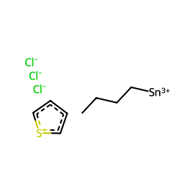 CCC[CH2][Sn+3].[Cl-].[Cl-].[Cl-].c1ccsc1